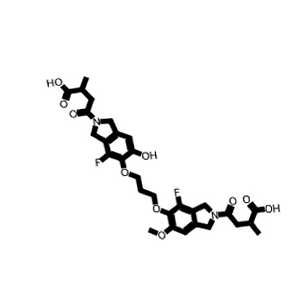 COc1cc2c(c(F)c1OCCCOc1c(O)cc3c(c1F)CN(C(=O)CC(C)C(=O)O)C3)CN(C(=O)CC(C)C(=O)O)C2